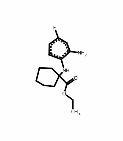 CCOC(=O)C1(Nc2ccc(F)cc2N)CCCCC1